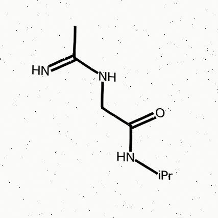 CC(=N)NCC(=O)NC(C)C